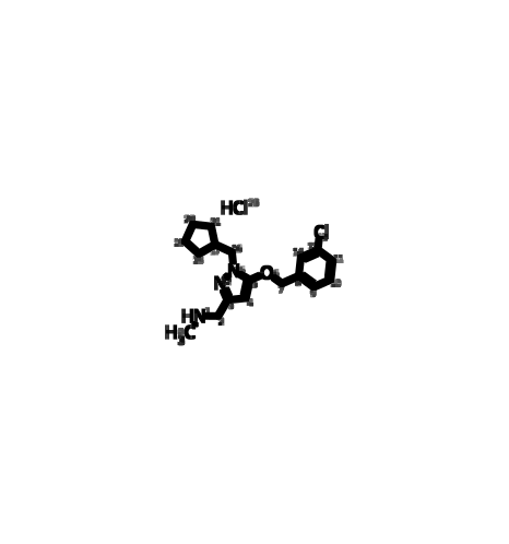 CNCc1cc(OCc2cccc(Cl)c2)n(CC2CCCC2)n1.Cl